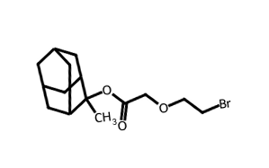 CC1(OC(=O)COCCBr)C2CC3CC(C2)CC1C3